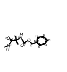 CNC(=O)C(C)(C)NC(=O)OCc1ccccc1